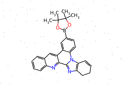 CC1(C)OB(c2ccc3c(c2)c2cc4ccccc4nc2c2nc4c(n32)C=CCC4)OC1(C)C